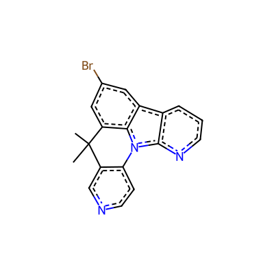 CC1(C)c2cnccc2-n2c3ncccc3c3cc(Br)cc1c32